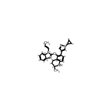 CC=Cn1c(Oc2c(-c3cnn(C4CC4)c3)ccc3c2CCC(C)N3)nc2ccccc21